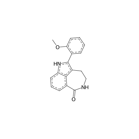 COc1ccccc1-c1[nH]c2cccc3c2c1CCNC3=O